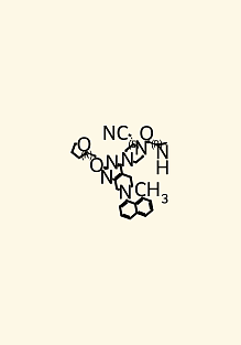 Cc1cccc2cccc(N3CCc4c(nc(OC[C@H]5CCCO5)nc4N4CCN(C(=O)[C@H]5CN5)[C@@H](CC#N)C4)C3)c12